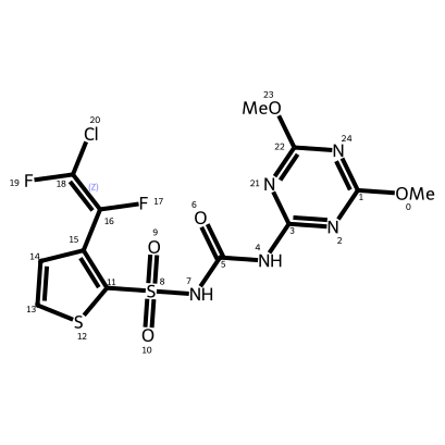 COc1nc(NC(=O)NS(=O)(=O)c2sccc2/C(F)=C(\F)Cl)nc(OC)n1